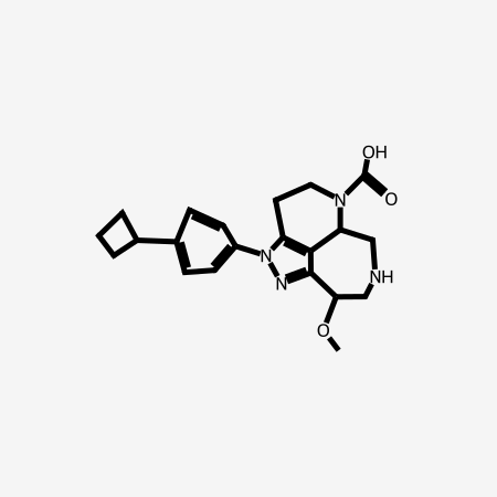 COC1CNCC2c3c1nn(-c1ccc(C4CCC4)cc1)c3CCN2C(=O)O